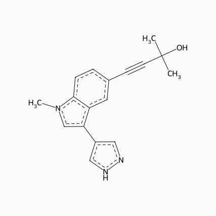 Cn1cc(-c2cn[nH]c2)c2cc(C#CC(C)(C)O)ccc21